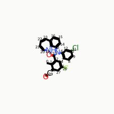 CC1=C(C(=O)N(c2cccc(Cl)c2)c2cccc3c2NC=CC=C3)C=C(F)CC1=C=O